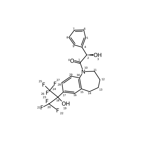 O=C([C@H](O)c1ccccc1)N1CCCCc2cc(C(O)(C(F)(F)F)C(F)(F)F)ccc21